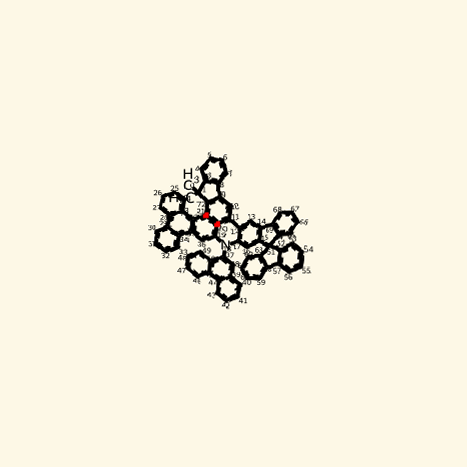 CC1(C)c2ccccc2-c2cc(-c3cc4c(cc3N(c3ccc5c6ccccc6c6ccccc6c5c3)c3cc5ccccc5c5ccccc35)C3(c5ccccc5-c5ccccc53)c3ccccc3-4)ccc21